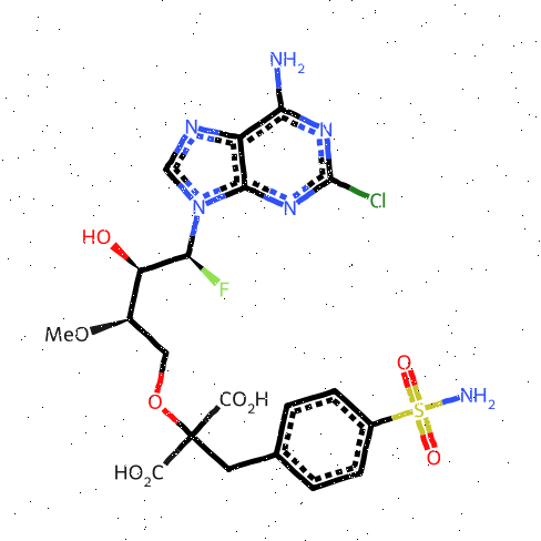 CO[C@H](COC(Cc1ccc(S(N)(=O)=O)cc1)(C(=O)O)C(=O)O)[C@@H](O)[C@H](F)n1cnc2c(N)nc(Cl)nc21